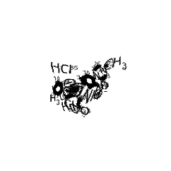 CC(C)C[C@H](Nc1c(S(=O)(=O)Oc2ccccc2)ccc(N2CCN(C)CC2)c1[N+](=O)[O-])C(=O)O.Cl